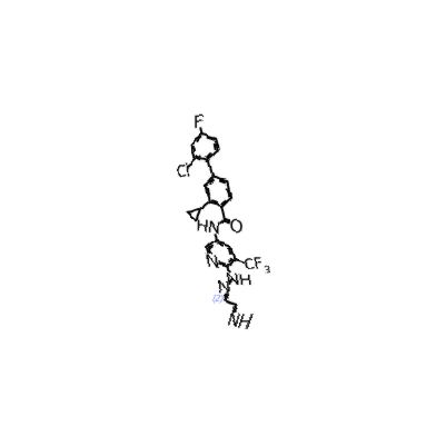 N=C/C=N\Nc1ncc(NC(=O)c2ccc(-c3ccc(F)cc3Cl)cc2C2CC2)cc1C(F)(F)F